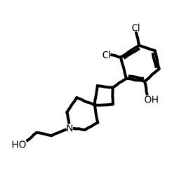 OCCN1CCC2(CC1)CC(c1c(O)ccc(Cl)c1Cl)C2